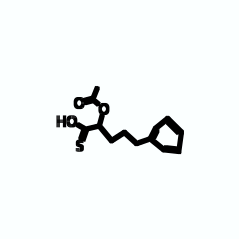 CC(=O)OC(CCCc1ccccc1)C(O)=S